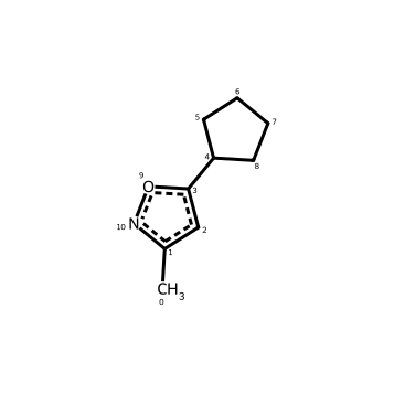 Cc1cc(C2CCCC2)on1